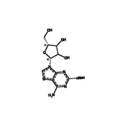 CCCCCCCCCc1nc(N)c2ncn([C@@H]3O[C@H](CO)C(O)C3O)c2n1